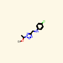 CCOC(C)n1nnc(CNc2ccc(Cl)cc2)n1